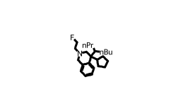 CCCCC(CCC)C1(C2CCCC2)CN(CCF)Cc2ccccc21